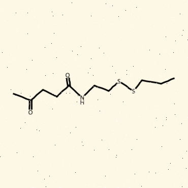 CCCSSCCNC(=O)CCC(C)=O